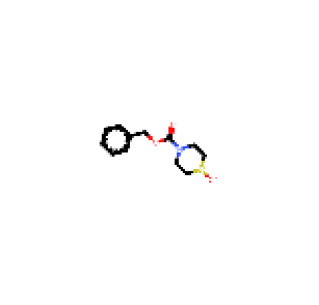 O=C(OCc1ccccc1)N1CC[S+]([O-])CC1